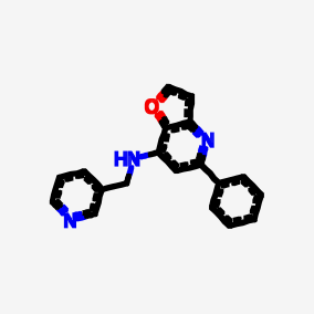 c1ccc(-c2cc(NCc3cccnc3)c3occc3n2)cc1